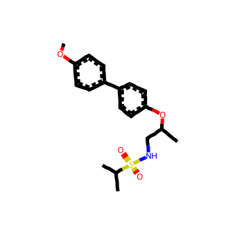 COc1ccc(-c2ccc(OC(C)CNS(=O)(=O)C(C)C)cc2)cc1